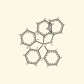 c1ccc(OP(c2ccccc2)(c2ccccc2)(c2ccccc2)c2ccccc2)cc1